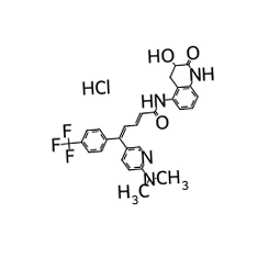 CN(C)c1ccc(C(=CC=CC(=O)Nc2cccc3c2CC(O)C(=O)N3)c2ccc(C(F)(F)F)cc2)cn1.Cl